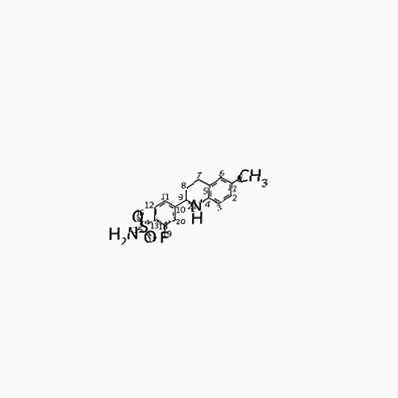 Cc1ccc2c(c1)CCC(c1ccc(S(N)(=O)=O)c(F)c1)N2